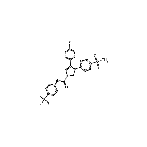 CS(=O)(=O)c1ccc(C2CN(C(=O)Nc3ccc(C(F)(F)F)cc3)N=C2c2ccc(F)cc2)nc1